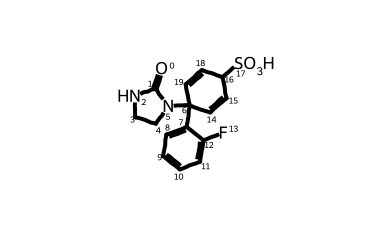 O=C1NCCN1C1(c2ccccc2F)C=CC(S(=O)(=O)O)C=C1